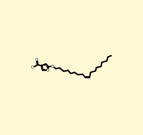 CCCCCCCC/C=C\CCCCCCCCOc1cc(C(=O)Cl)co1